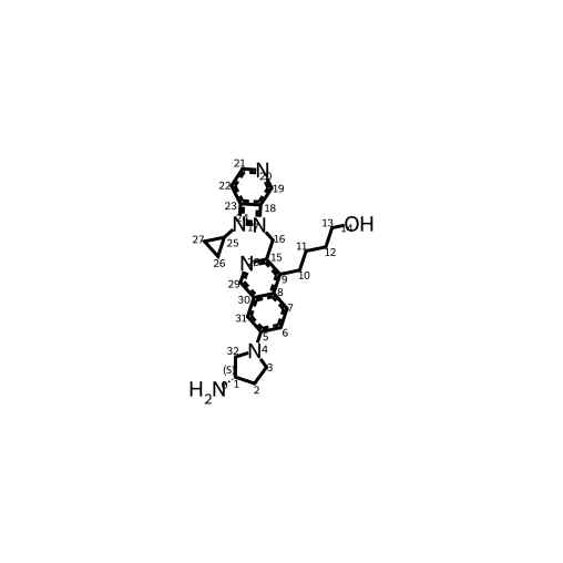 N[C@H]1CCN(c2ccc3c(CCCCO)c(Cn4c5cnccc5n4C4CC4)ncc3c2)C1